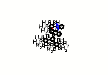 Bc1c(B)c(B)c(-c2cc(-c3c(B)c(B)c(B)c(B)c3B)cc(-c3c4ccccc4c(-n4c(-c5c(B)c(B)c(B)c(B)c5B)nc5ccccc54)c4ccccc34)c2)c(B)c1B